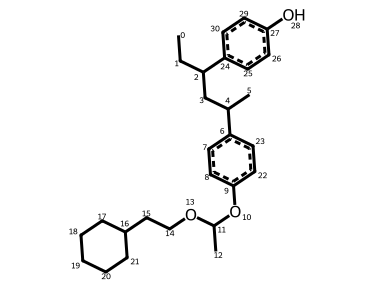 CCC(CC(C)c1ccc(OC(C)OCCC2CCCCC2)cc1)c1ccc(O)cc1